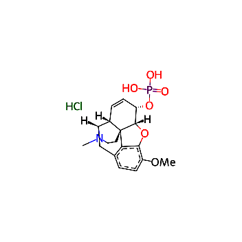 COc1ccc2c3c1O[C@H]1[C@@H](OP(=O)(O)O)C=C[C@H]4[C@@H](C2)N(C)CC[C@@]341.Cl